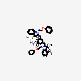 CC1(C)CC(/C=C2/N(CCOc3ccccc3)c3ccccc3C2(C)C)=CC(=C/C2=[N+](CCOc3ccccc3)c3ccccc3C2(C)C)/C1